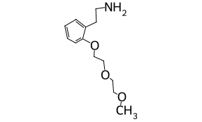 COCCOCCOc1ccccc1CCN